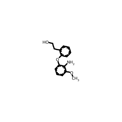 COc1cccc(Oc2ccccc2CCO)c1N